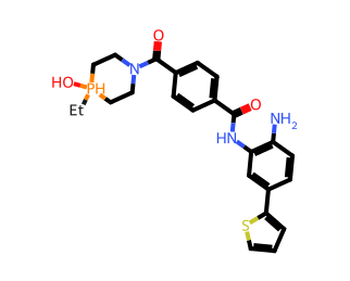 CC[PH]1(O)CCN(C(=O)c2ccc(C(=O)Nc3cc(-c4cccs4)ccc3N)cc2)CC1